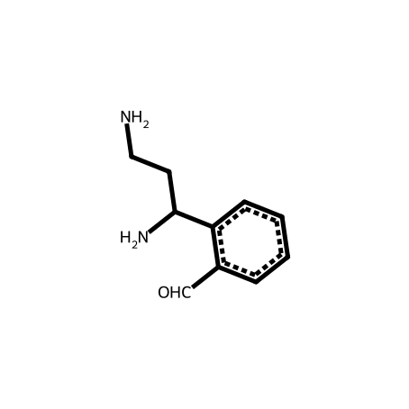 NCCC(N)c1ccccc1C=O